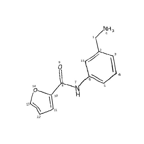 NCc1cccc(NC(=O)c2ccco2)c1